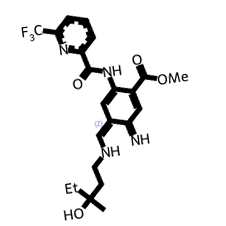 CCC(C)(O)CCN/C=C1/C=C(NC(=O)c2cccc(C(F)(F)F)n2)C(C(=O)OC)=CC1=N